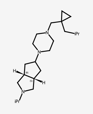 CC(C)CC1(CN2CCN(C3C[C@@H]4CN(C(C)C)C[C@@H]4C3)CC2)CC1